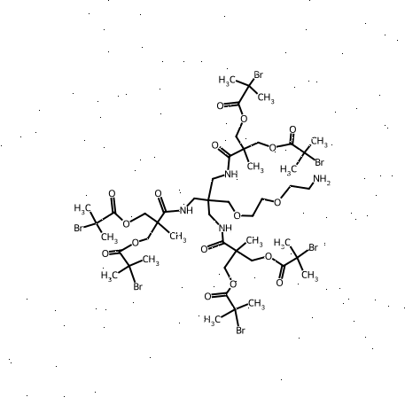 CC(C)(Br)C(=O)OCC(C)(COC(=O)C(C)(C)Br)C(=O)NCC(CNC(=O)C(C)(COC(=O)C(C)(C)Br)COC(=O)C(C)(C)Br)(CNC(=O)C(C)(COC(=O)C(C)(C)Br)COC(=O)C(C)(C)Br)COCCOCCN